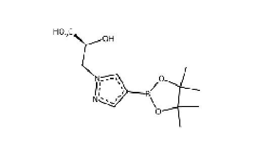 CC1(C)OB(c2cnn(C[C@H](O)C(=O)O)c2)OC1(C)C